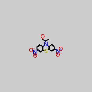 CC(C=O)N1c2ccc([N+](=O)[O-])cc2Sc2cc([N+](=O)[O-])ccc21